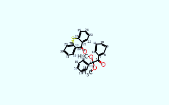 COC(OC)(C(=O)c1ccccc1)c1ccccc1.O=c1c2ccccc2sc2ccccc12